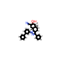 C[C@H]1C(O)=C(C#N)C[C@@]2(C)c3c(c(-c4ccccc4)nn3-c3cccc(-c4ccccc4)c3)CC[C@H]12